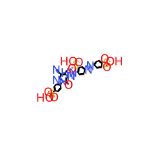 CC1=C(C#N)c2nc3cc(S(=O)(=O)O)ccc3n2C(=O)/C1=N/Nc1ccc(/N=N/c2ccc(S(=O)(=O)O)cc2)cc1S(=O)(=O)O